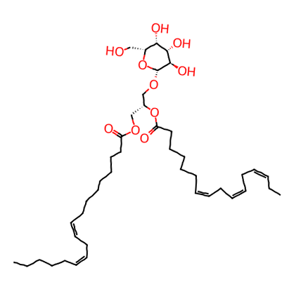 CC/C=C\C/C=C\C/C=C\CCCCCC(=O)O[C@H](COC(=O)CCCCCCC/C=C\C/C=C\CCCCC)CO[C@@H]1O[C@H](CO)[C@H](O)[C@H](O)[C@H]1O